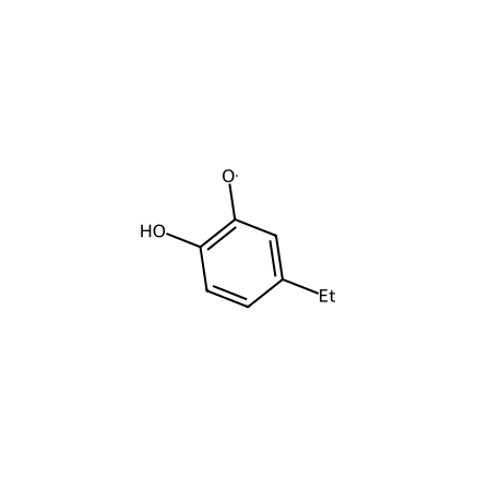 CCc1ccc(O)c([O])c1